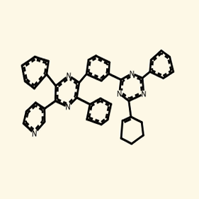 C1=C(c2nc(-c3ccccc3)nc(-c3cccc(-c4nc(-c5ccccc5)c(-c5cccnc5)nc4-c4ccccc4)c3)n2)CCCC1